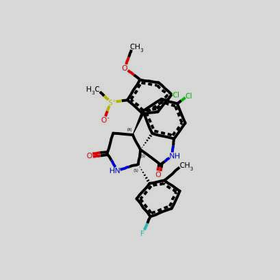 COc1cc(Cl)cc([C@@H]2CC(=O)N[C@@H](c3cc(F)ccc3C)[C@]23C(=O)Nc2cc(Cl)ccc23)c1[S+](C)[O-]